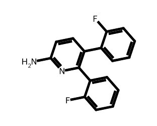 Nc1ccc(-c2ccccc2F)c(-c2ccccc2F)n1